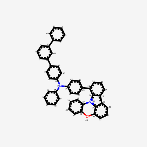 c1ccc(-c2cccc(-c3ccc(N(c4ccccc4)c4ccc(-c5cccc6c7cccc8c7n(c56)-c5ccccc5O8)cc4)cc3)c2)cc1